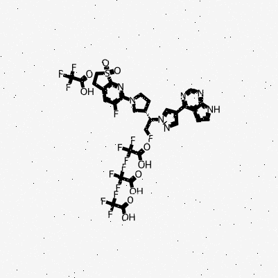 O=C(O)C(F)(F)F.O=C(O)C(F)(F)F.O=C(O)C(F)(F)F.O=C(O)C(F)(F)F.O=S1(=O)CCc2cc(F)c(N3CC[C@H](C(CF)n4cc(-c5ncnc6[nH]ccc56)cn4)C3)nc21